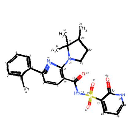 CC(C)c1ccccc1-c1ccc(C(=O)NS(=O)(=O)c2ccc[nH]c2=O)c(N2CCC(C)C2(C)C)n1